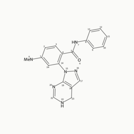 CNc1ccc(C(=O)Nc2ccccc2)c(-n2ncc3c2N=CNC3)c1